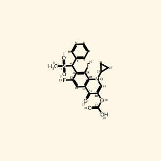 CS(=O)(=O)C(c1ccccc1)c1c(F)cc2c(=O)c(OC(=O)O)cn(C3CC3)c2c1F